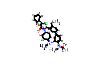 CCc1ccc(-c2ccc(N(C)C(C)=O)cc2)cc1CN(C(=O)c1sc2ccccc2c1Cl)[C@H]1CC[C@H](NC)CC1